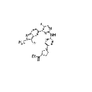 CCNC1CCN(c2ccc(Nc3ncc(F)c(-c4ccc5nn(C)c(C(C)C)c5c4)n3)nc2)C1